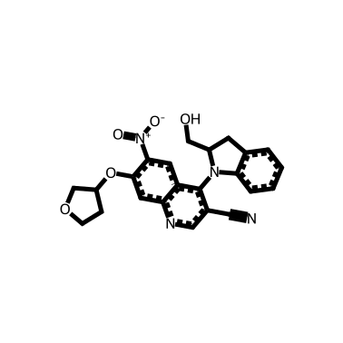 N#Cc1cnc2cc(OC3CCOC3)c([N+](=O)[O-])cc2c1N1c2ccccc2CC1CO